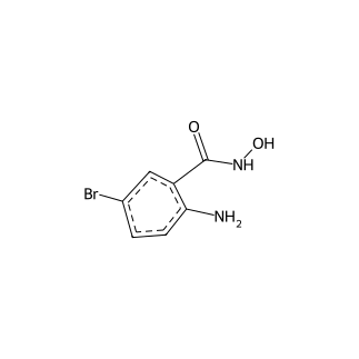 Nc1ccc(Br)cc1C(=O)NO